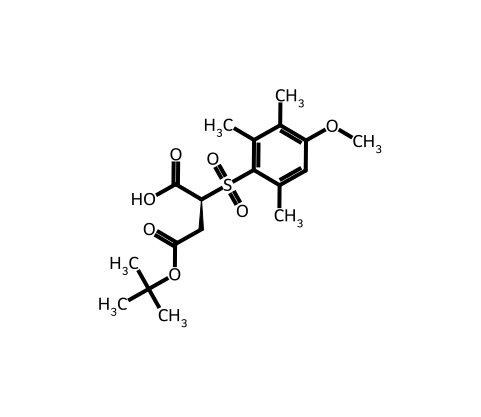 COc1cc(C)c(S(=O)(=O)[C@@H](CC(=O)OC(C)(C)C)C(=O)O)c(C)c1C